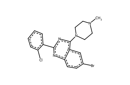 CN1CCN(c2nc(-c3ccccc3Cl)nc3ccc(Br)cc23)CC1